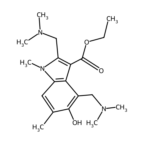 CCOC(=O)c1c(CN(C)C)n(C)c2cc(C)c(O)c(CN(C)C)c12